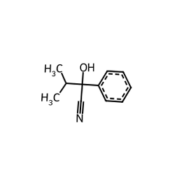 CC(C)C(O)(C#N)c1ccccc1